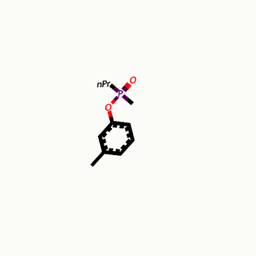 CCCP(C)(=O)Oc1cccc(C)c1